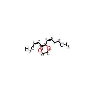 C/C=C\C1=C(/C=C\CCC)OCCO1